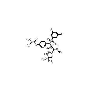 CC(C)OC(=O)[C@@](C)(C(=O)[C@H]1NC(C)(C)CS1)N(c1ccc(OC(=O)N(C)C)cc1)S(=O)(=O)c1cc(F)cc(F)c1